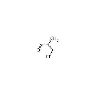 CC(C=O)CCl